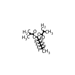 C=C(C)C(=O)OC(OC(=O)C(=C)C)C(F)(F)C(F)(F)C(F)(F)C(C)(F)F